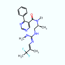 C=N/C(=N\C=C(/C)C(C)(F)F)NC[C@H](C)N(CC)C(=O)c1cncnc1-c1ccccc1